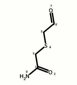 NC(=O)CSC[C]=O